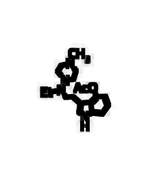 CCN(CCc1c[nH]c2cccc(OC(C)=O)c12)N1CCN(C)CC1